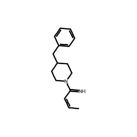 C/C=C\C(=N)N1CCC(Cc2ccccc2)CC1